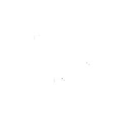 Nc1c(OCC(F)F)ccnc1Br